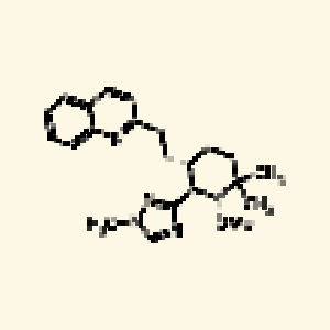 CO[C@@H]1[C@@H](c2ncn(C)n2)[C@H](CCc2ccc3ccccc3n2)CCC1(C)C